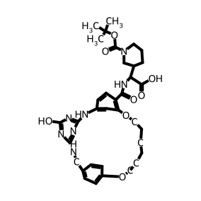 CC(C)(C)OC(=O)N1CCCC(C(NC(=O)c2ccc3cc2OCCCCCCOc2ccc(cc2)CNc2nc(O)nc(n2)N3)C(=O)O)C1